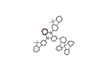 CC1(C)c2ccccc2-c2ccc(N(c3ccccc3)c3ccc(-c4cccc5c4-c4ccccc4C54c5ccccc5-c5ccccc54)cc3N(c3ccccc3)c3ccc4c(c3)C(C)(C)c3ccccc3-4)cc21